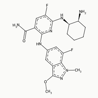 COc1nn(C)c2c(F)cc(Nc3nc(N[C@@H]4CCCC[C@@H]4N)c(F)cc3C(N)=O)cc12